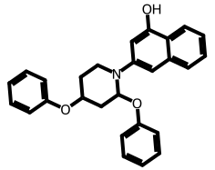 Oc1cc(N2CCC(Oc3ccccc3)CC2Oc2ccccc2)cc2ccccc12